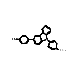 CCCCCCC1C=CC(n2c3ccccc3c3cc(-c4ccc(N)cc4)ccc32)=CC1